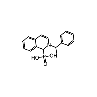 CC(c1ccccc1)N1C=Cc2ccccc2C1P(=O)(O)O